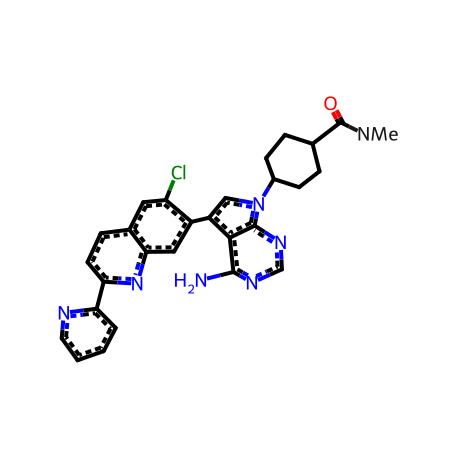 CNC(=O)C1CCC(n2cc(-c3cc4nc(-c5ccccn5)ccc4cc3Cl)c3c(N)ncnc32)CC1